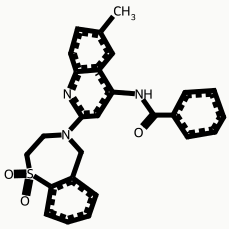 Cc1ccc2nc(N3CCS(=O)(=O)c4ccccc4C3)cc(NC(=O)c3ccccc3)c2c1